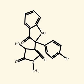 CN1C(=O)C(O)C(C2(c3ccc(Br)cc3)Nc3ccccc3C2=O)C1=O